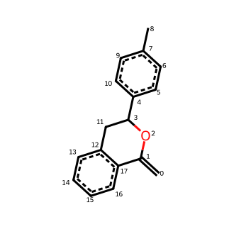 C=C1OC(c2ccc(C)cc2)Cc2ccccc21